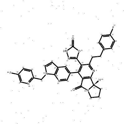 O=C1c2c(nc(CCc3ccc(F)cc3)c(-c3n[nH]c(=O)o3)c2-c2cnc3c(ccn3Cc3ccc(F)cn3)c2)[C@@H]2CCCN12